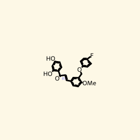 COc1ccc(/C=C/C(=O)c2ccc(O)cc2O)cc1COc1ccc(F)cc1